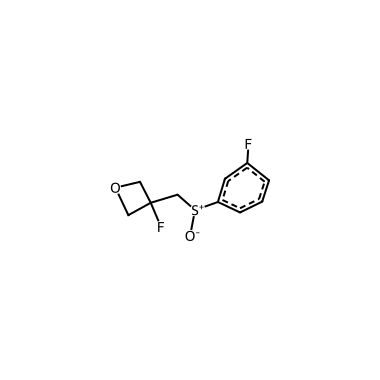 [O-][S+](CC1(F)COC1)c1cccc(F)c1